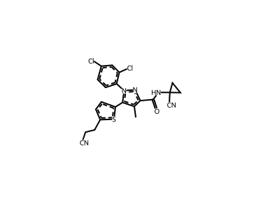 Cc1c(C(=O)NC2(C#N)CC2)nn(-c2ccc(Cl)cc2Cl)c1-c1ccc(CCC#N)s1